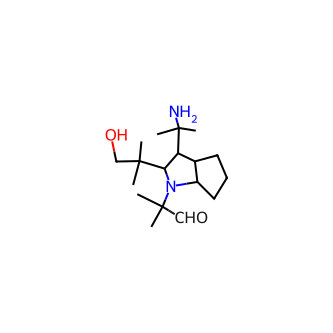 CC(C)(N)C1C2CCCC2N(C(C)(C)C=O)C1C(C)(C)CO